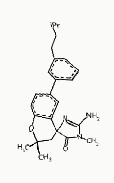 CC(C)CCc1cccc(-c2ccc3c(c2)C2(CC(C)(C)O3)N=C(N)N(C)C2=O)c1